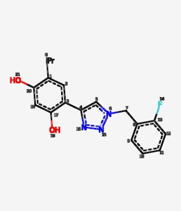 CC(C)c1cc(-c2cn(Cc3ccccc3F)nn2)c(O)cc1O